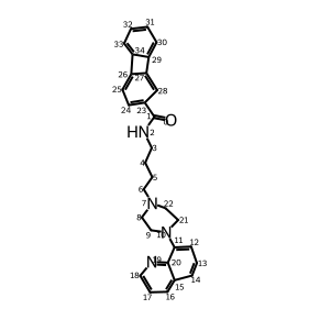 O=C(NCCCCN1CCN(c2cccc3cccnc23)CC1)c1ccc2c(c1)-c1ccccc1-2